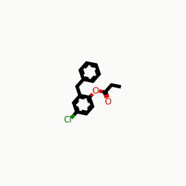 CCC(=O)Oc1ccc(Cl)cc1Cc1ccccc1